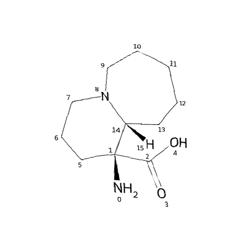 N[C@@]1(C(=O)O)CCCN2CCCCC[C@@H]21